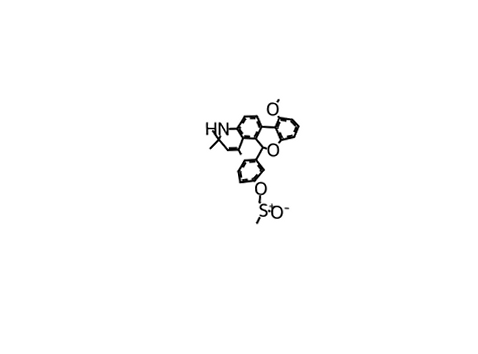 COc1cccc2c1-c1ccc3c(c1C(c1cccc(OC[S+](C)[O-])c1)O2)C(C)=CC(C)(C)N3